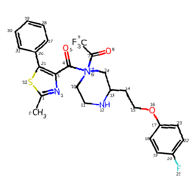 Cc1nc(C(=O)[N+]2(C(=O)C(F)(F)F)CCNC(CCOc3ccc(F)cc3)C2)c(-c2ccccc2)s1